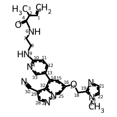 C=CC(C)C(=O)NCCNc1ccc(-c2cc(OCc3nccn3C)cn3ncc(C#N)c23)cn1